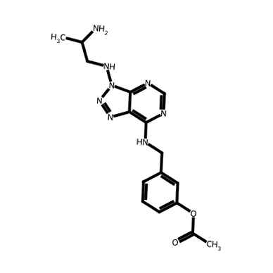 CC(=O)Oc1cccc(CNc2ncnc3c2nnn3NCC(C)N)c1